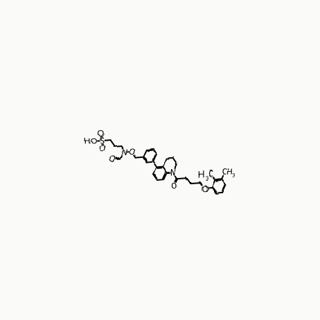 Cc1cccc(OCCCC(=O)N2CCCc3c(-c4cccc(CON(C=O)CCCS(=O)(=O)O)c4)cccc32)c1C